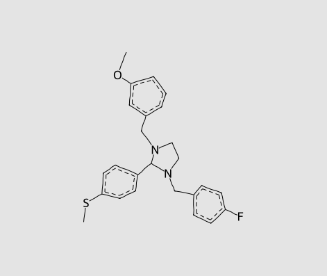 COc1cccc(CN2CCN(Cc3ccc(F)cc3)C2c2ccc(SC)cc2)c1